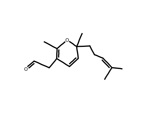 CC(C)=CCCC1(C)C=CC(CC=O)=C(C)O1